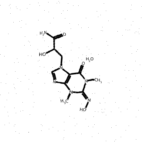 Cn1c(=O)c2c(ncn2CC(O)C(N)=O)n(C)c1=NO.O